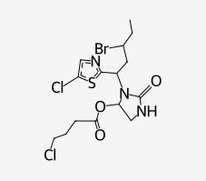 CCC(Br)CC(c1ncc(Cl)s1)N1C(=O)NCC1OC(=O)CCCCl